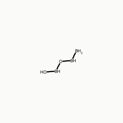 BBOBO